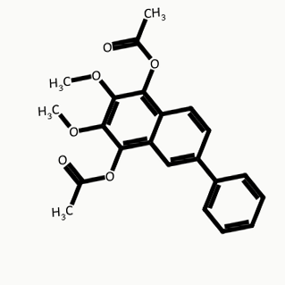 COc1c(OC)c(OC(C)=O)c2cc(-c3ccccc3)ccc2c1OC(C)=O